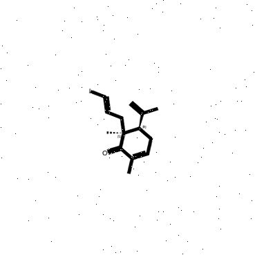 C=C(C)[C@H]1CC=C(C)C(=O)[C@@]1(C)CC=CI